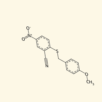 COc1ccc(CSc2ccc([N+](=O)[O-])cc2C#N)cc1